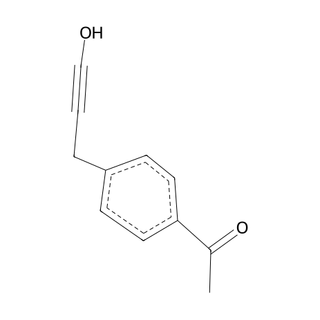 CC(=O)c1ccc(CC#CO)cc1